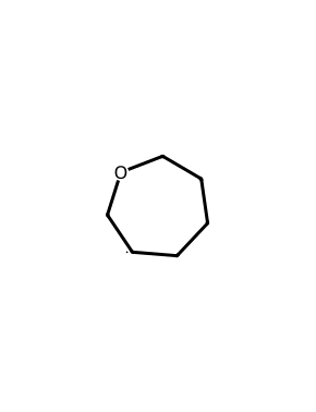 [CH]1CCCCOC1